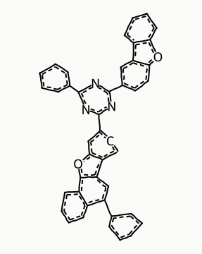 c1ccc(-c2nc(-c3ccc4c(c3)oc3c5ccccc5c(-c5ccccc5)cc43)nc(-c3ccc4oc5ccccc5c4c3)n2)cc1